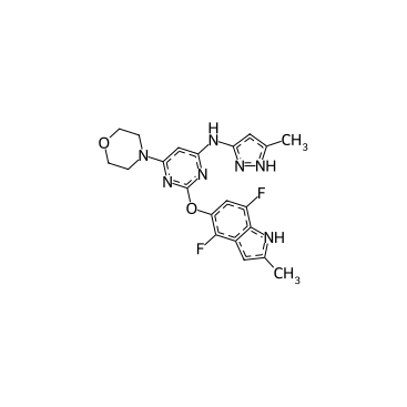 Cc1cc(Nc2cc(N3CCOCC3)nc(Oc3cc(F)c4[nH]c(C)cc4c3F)n2)n[nH]1